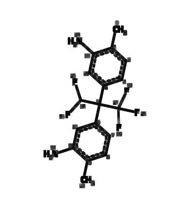 Cc1ccc(C(c2ccc(C)c(N)c2)(C(F)F)C(F)(F)F)cc1N